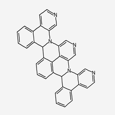 c1ccc2c(c1)-c1ccncc1N1c3cncc4c3-c3c(cccc3C3c5ccccc5-c5ccncc5N43)C21